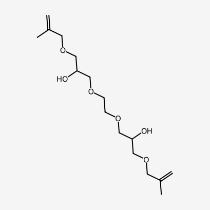 C=C(C)COCC(O)COCCOCC(O)COCC(=C)C